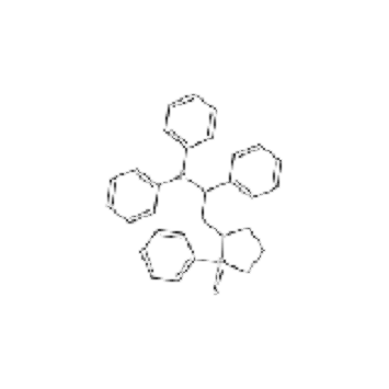 S=P1(c2ccccc2)CCCC1CC(c1ccccc1)P(c1ccccc1)c1ccccc1